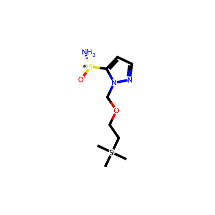 C[Si](C)(C)CCOCn1nccc1[S@@+](N)[O-]